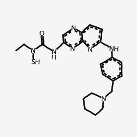 CCN(S)C(=O)Nc1cnc2ccc(Nc3ccc(CN4CCCCC4)cc3)nc2n1